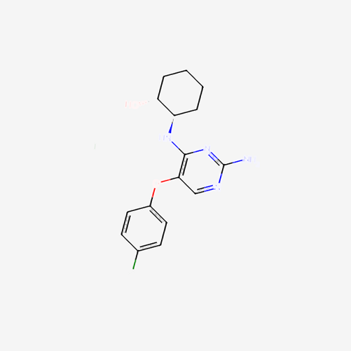 Cl.Nc1ncc(Oc2ccc(Cl)cc2)c(N[C@@H]2CCCC[C@H]2O)n1